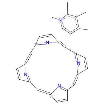 C1=CC2=NC1=CC1=NC(=CC3=NC(=CC4=NC(=C2)C=C4)C=C3)C=C1.Cc1cc[n+](C)c(C)c1C